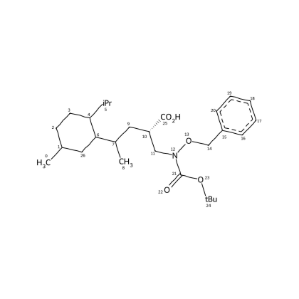 CC1CCC(C(C)C)C(C(C)C[C@@H](CN(OCc2ccccc2)C(=O)OC(C)(C)C)C(=O)O)C1